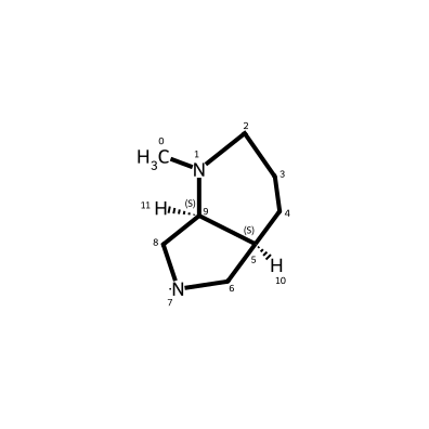 CN1CCC[C@H]2C[N]C[C@H]21